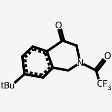 CC(C)(C)c1ccc2c(c1)CN(C(=O)C(F)(F)F)CC2=O